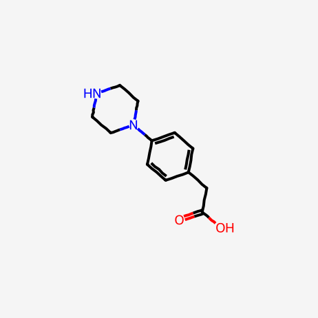 O=C(O)Cc1ccc(N2CCNCC2)cc1